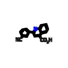 N#Cc1cccc(-c2cc(C(=O)O)c3ccccc3n2)c1